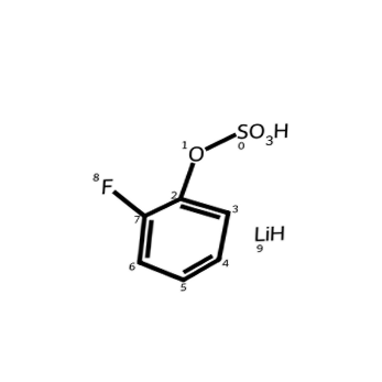 O=S(=O)(O)Oc1ccccc1F.[LiH]